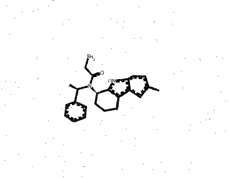 BCC(=O)N([C@H](C)c1ccccc1)[C@@H]1CCCc2c1[nH]c1ccc(C)cc21